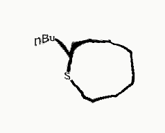 CCCCC1CCCCCCS1